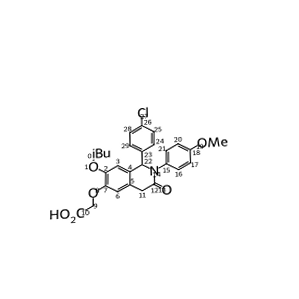 CC[C@@H](C)Oc1cc2c(cc1OCC(=O)O)CC(=O)N(c1ccc(OC)cc1)C2c1ccc(Cl)cc1